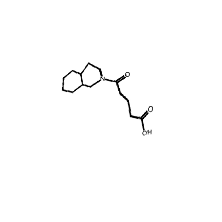 O=C(O)CCCC(=O)N1CCC2CCCCC2C1